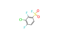 O=S(=O)(F)c1ccc(F)c(Cl)c1F